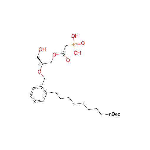 CCCCCCCCCCCCCCCCCCc1ccccc1CO[C@@H](CO)COC(=O)CP(=O)(O)O